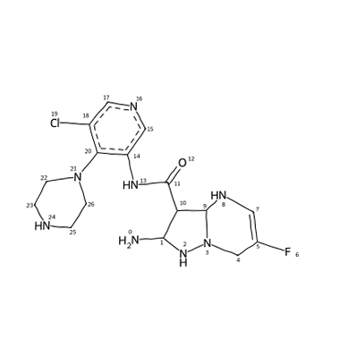 NC1NN2CC(F)=CNC2C1C(=O)Nc1cncc(Cl)c1N1CCNCC1